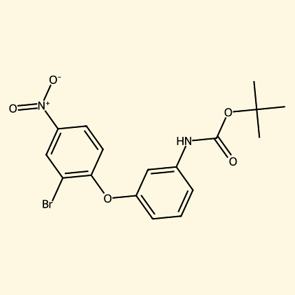 CC(C)(C)OC(=O)Nc1cccc(Oc2ccc([N+](=O)[O-])cc2Br)c1